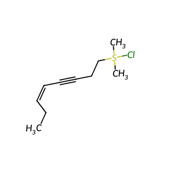 CC/C=C\C#CCCS(C)(C)Cl